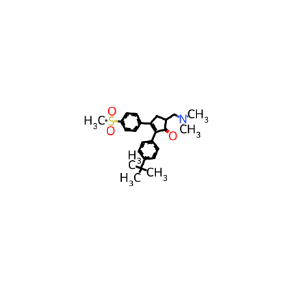 CN(C)CC1CC(c2ccc(S(C)(=O)=O)cc2)=C(c2ccc(C(C)(C)C)cc2)C1=O